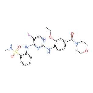 CCOc1cc(C(=O)N2CCOCC2)ccc1Nc1ncc(I)c(Nc2ccccc2S(=O)(=O)NC)n1